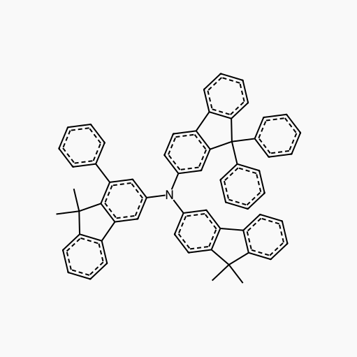 CC1(C)c2ccccc2-c2cc(N(c3cc(-c4ccccc4)c4c(c3)-c3ccccc3C4(C)C)c3ccc4c(c3)C(c3ccccc3)(c3ccccc3)c3ccccc3-4)ccc21